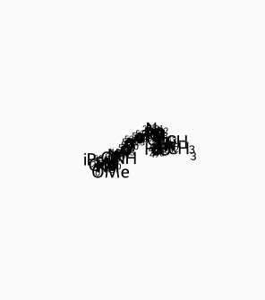 COC(=O)NC(C(=O)N1CCC[C@H]1c1ncc(-c2ccc3cc(-c4ccc(-c5cnc([C@@H]6CCCN6C(=O)[C@H](OC(=O)N(C)C)c6ccccc6)[nH]5)cc4)ccc3c2)[nH]1)C(C)C